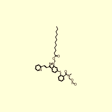 CCCCCCCCCCCC(=O)OCn1nc(/C=C/c2ccccn2)c2ccc(Sc3ccccc3C(=O)N(C)COP=O)cc21